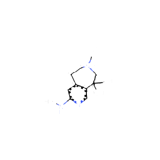 CNc1cc2c(cn1)C(C)(C)CN(C)CC2